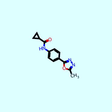 Cc1nnc(-c2ccc(NC(=O)C3CC3)cc2)o1